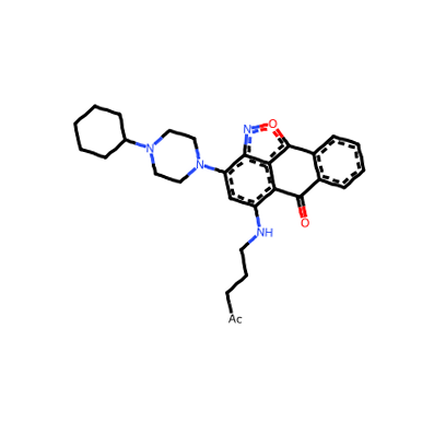 CC(=O)CCCNc1cc(N2CCN(C3CCCCC3)CC2)c2noc3c2c1C(=O)c1ccccc1-3